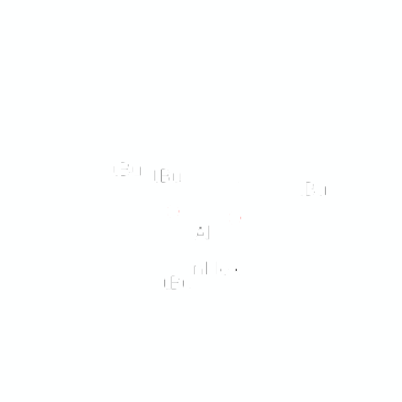 CCCCC[CH2][Al]([O]c1c(C(C)(C)C)cccc1C(C)(C)C)[O]c1c(C(C)(C)C)cccc1C(C)(C)C